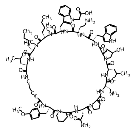 CCCC[C@H]1C(=O)N(C)[C@@H](CCCC)C(=O)N[C@@H](CC(C)C)C(=O)NCCCCC(=O)N[C@@H](Cc2ccc(OC)cc2)C(=O)N2CCCC[C@H]2C(=O)N[C@@H](CC(N)=O)C(=O)N2CCC[C@H]2C(=O)N[C@@H](CN)C(=O)N[C@@H](CC(C)C)C(=O)N2C[C@H](O)C[C@H]2C(=O)N[C@@H](Cc2c[nH]c3ccccc23)C(=O)N[C@@H](CCN)C(=O)N[C@@H](Cc2cn(CC(=O)O)c3ccccc23)C(=O)N1C